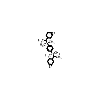 CC(C1CCC2OC2C1)[Si](C)(C)c1ccc([Si](C)(C)C(C)C2CCC3OC3C2)cc1